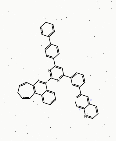 C=C(/C=c1/cccn/c1=C/C)c1cccc(-c2cc(-c3ccc(C4=C=CCC=C4)cc3)nc(-c3cc4c(c5ccccc35)C=CCC=C4)n2)c1